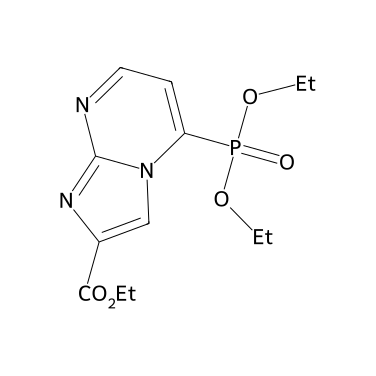 CCOC(=O)c1cn2c(P(=O)(OCC)OCC)ccnc2n1